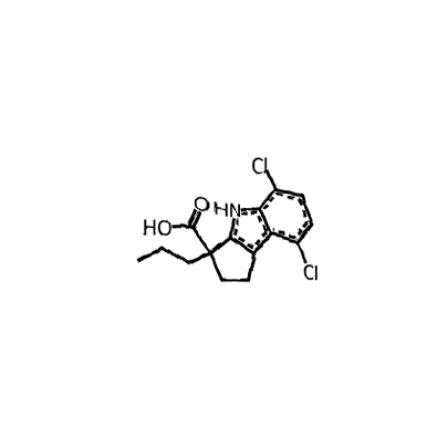 CCCC1(C(=O)O)CCc2c1[nH]c1c(Cl)ccc(Cl)c21